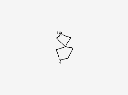 B1CC2(C1)CCNC2